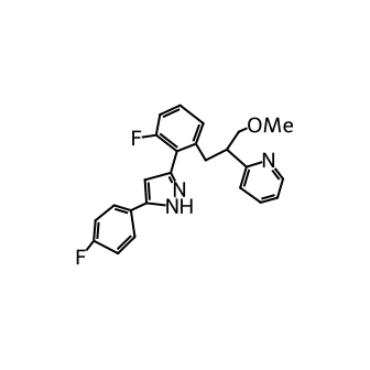 COCC(Cc1cccc(F)c1-c1cc(-c2ccc(F)cc2)[nH]n1)c1ccccn1